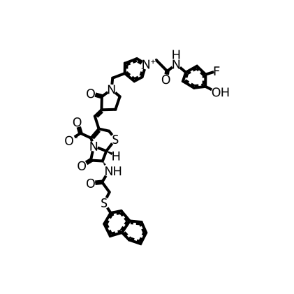 O=C(C[n+]1ccc(CN2CCC(=CC3=C(C(=O)[O-])N4C(=O)[C@@H](NC(=O)CSc5ccc6ccccc6c5)[C@H]4SC3)C2=O)cc1)Nc1ccc(O)c(F)c1